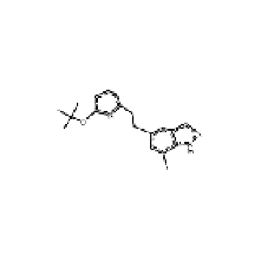 Cc1cc(CCc2cccc(OC(C)(C)C)n2)cc2cn[nH]c12